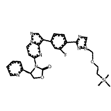 C[Si](C)(C)CCOCn1cnc(-c2ccc(-c3cnn4ccc(N5C(=O)OCC5c5ccccn5)nc34)cc2F)n1